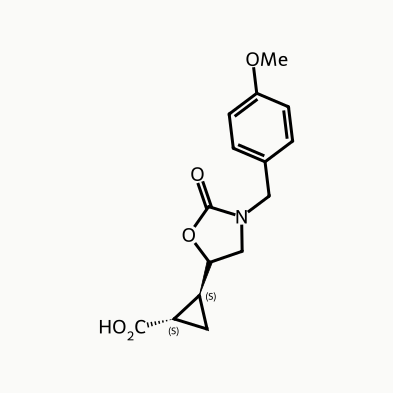 COc1ccc(CN2CC([C@H]3C[C@@H]3C(=O)O)OC2=O)cc1